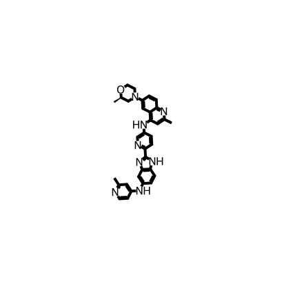 Cc1cc(Nc2ccc3[nH]c(-c4ccc(Nc5cc(C)nc6ccc(N7CCO[C@H](C)C7)cc56)cn4)nc3c2)ccn1